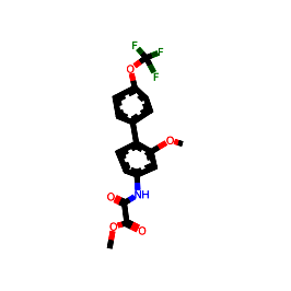 COC(=O)C(=O)Nc1ccc(-c2ccc(OC(F)(F)F)cc2)c(OC)c1